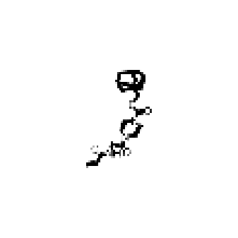 C=CC(=O)NCC(=O)N1C=CN(C(=O)OCC23CC4CC(CC(C4)C2)C3)C=C1